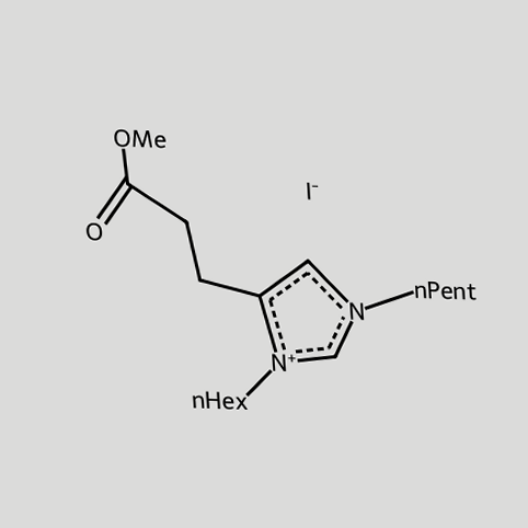 CCCCCC[n+]1cn(CCCCC)cc1CCC(=O)OC.[I-]